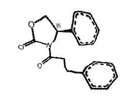 O=C(CCc1ccccc1)N1C(=O)OC[C@H]1c1ccccc1